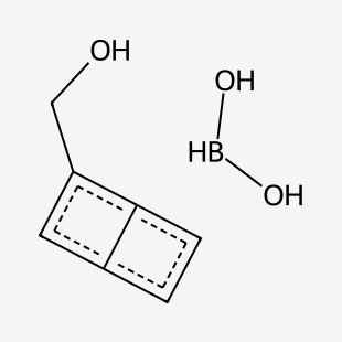 OBO.OCc1cc2ccc1-2